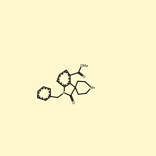 COC(=O)c1cccc2c1C1(CCNCC1)C(=O)N2Cc1ccccc1